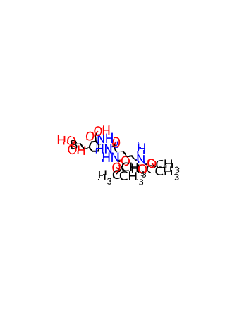 CC(C)(C)OC(=O)NCCCC[C@H](NC(=O)OC(C)(C)C)C(=O)NC[C@@H]1CC[C@@H](CCB(O)O)C[C@]1(N)C(=O)O